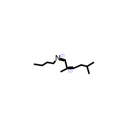 CCCC/N=C\C(C)=C/CC(C)C